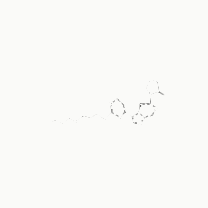 CCCCNCCCNc1nccc(-c2cnc3cnc(N4CCCC4=O)cn23)n1